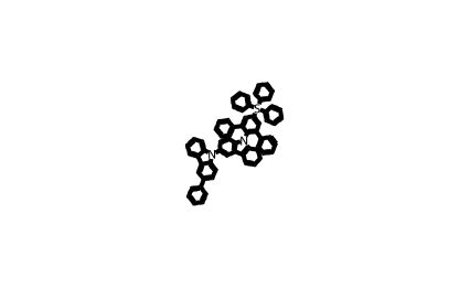 c1cccc(-c2cc(S(c3ccccc3)(c3ccccc3)c3ccccc3)cc(-c3ccccc3)c2-n2c3c(c4cc(-n5c6ccccc6c6cc(-c7ccccc7)ccc65)ccc42)C=CCC3)c#1